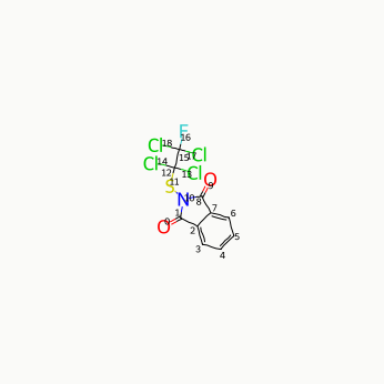 O=C1c2ccccc2C(=O)N1SC(Cl)(Cl)C(F)(Cl)Cl